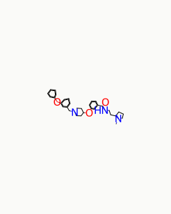 CN1CCCC1CCNC(=O)c1cccc(OC2CCN(Cc3cccc(Oc4ccccc4)c3)CC2)c1